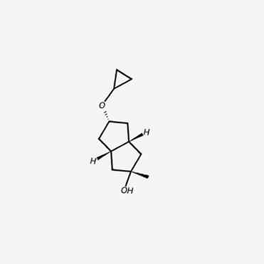 C[C@]1(O)C[C@H]2C[C@@H](OC3CC3)C[C@H]2C1